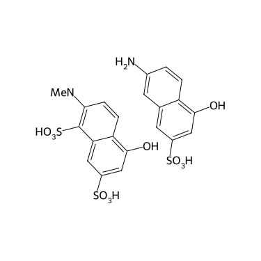 CNc1ccc2c(O)cc(S(=O)(=O)O)cc2c1S(=O)(=O)O.Nc1ccc2c(O)cc(S(=O)(=O)O)cc2c1